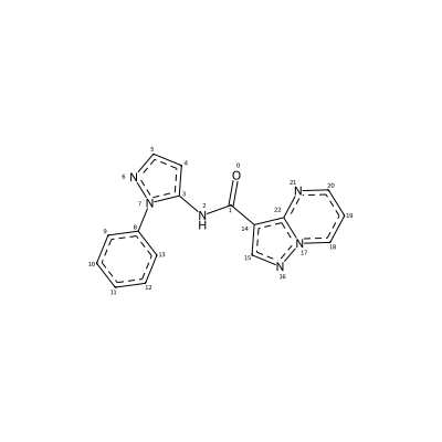 O=C(Nc1ccnn1-c1ccccc1)c1cnn2cccnc12